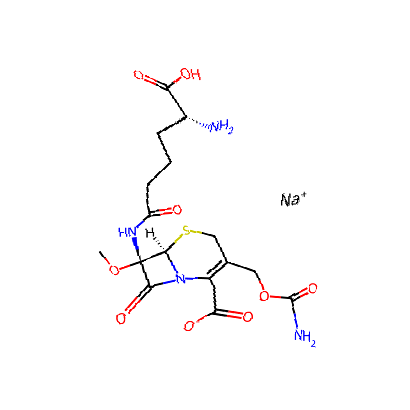 CO[C@@]1(NC(=O)CCC[C@@H](N)C(=O)O)C(=O)N2C(C(=O)[O-])=C(COC(N)=O)CS[C@@H]21.[Na+]